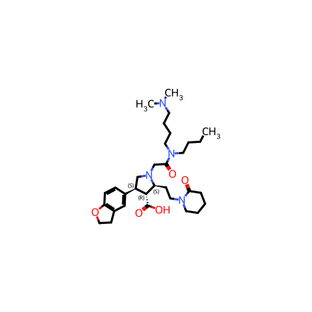 CCCCN(CCCCN(C)C)C(=O)CN1C[C@H](c2ccc3c(c2)CCO3)[C@@H](C(=O)O)[C@@H]1CCN1CCCCC1=O